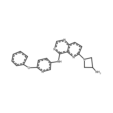 NC1CN(c2ccc3ncnc(Nc4ccc(Oc5ccccc5)nc4)c3n2)C1